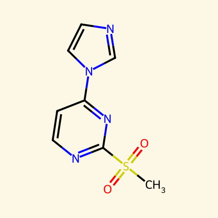 CS(=O)(=O)c1nccc(-n2ccnc2)n1